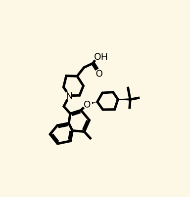 Cc1cc(O[C@H]2CC[C@H](C(C)(C)C)CC2)c(CN2CCC(CC(=O)O)CC2)c2ccccc12